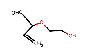 C=CC([C]=O)OCCO